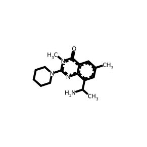 Cc1cc(C(C)N)c2nc(N3CCCCC3)n(C)c(=O)c2c1